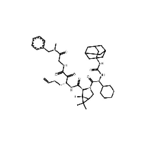 C=CCC[C@@H](NC(=O)[C@@H]1[C@@H]2C(CN1C(=O)[C@@H](NC(=O)NC13CC4CC(CC(C4)C1)C3)C1CCCCC1)C2(C)C)C(=O)C(=O)NCC(=O)N(C)Cc1ccccc1